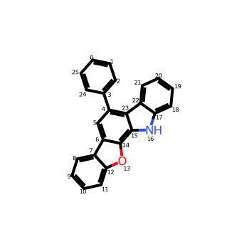 c1ccc(-c2cc3c4ccccc4oc3c3[nH]c4ccccc4c23)cc1